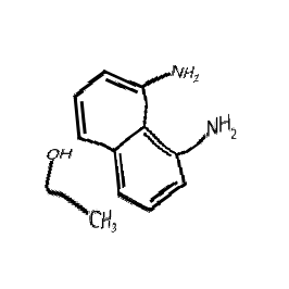 CCO.Nc1cccc2cccc(N)c12